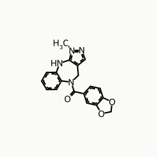 Cn1ncc2c1Nc1ccccc1N(C(=O)c1ccc3c(c1)OCO3)C2